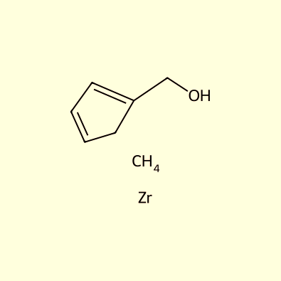 C.OCC1=CC=CC1.[Zr]